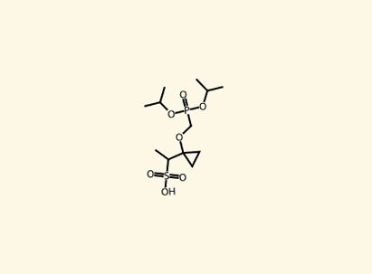 CC(C)OP(=O)(COC1(C(C)S(=O)(=O)O)CC1)OC(C)C